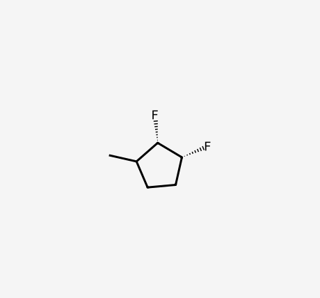 CC1CC[C@@H](F)[C@H]1F